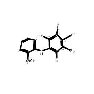 COc1ccccc1Pc1c(F)c(F)c(F)c(F)c1F